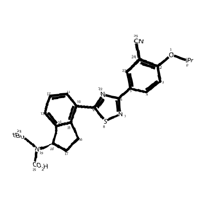 CC(C)Oc1ccc(-c2nsc(-c3cccc4c3CC[C@H]4N(C(=O)O)C(C)(C)C)n2)cc1C#N